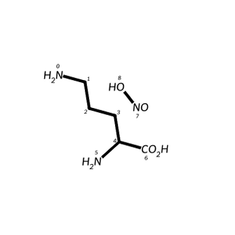 NCCCC(N)C(=O)O.O=NO